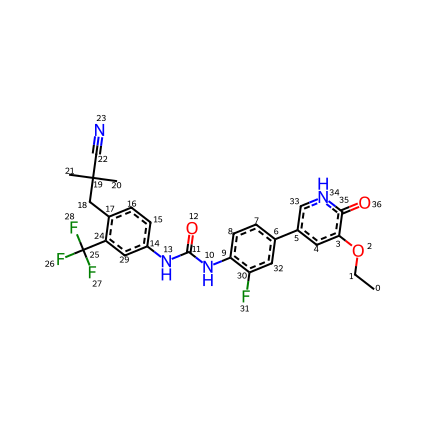 CCOc1cc(-c2ccc(NC(=O)Nc3ccc(CC(C)(C)C#N)c(C(F)(F)F)c3)c(F)c2)c[nH]c1=O